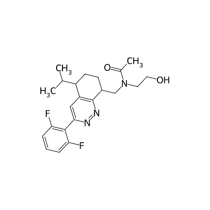 CC(=O)N(CCO)CC1CCC(C(C)C)c2cc(-c3c(F)cccc3F)nnc21